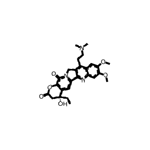 CC[C@@]1(O)CC(=O)Oc2c1cc1n(c2=O)Cc2c-1nc1cc(OC)c(OC)cc1c2CCN(C)C